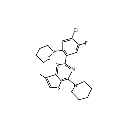 Cc1csc2c(N3CCCCC3)nc(-c3cc(F)c(Cl)cc3N3CCCCC3)nc12